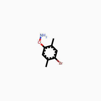 Cc1cc(ON)c(C)cc1Br